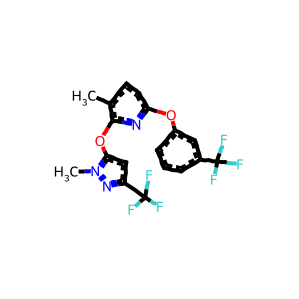 Cc1ccc(Oc2cccc(C(F)(F)F)c2)nc1Oc1cc(C(F)(F)F)nn1C